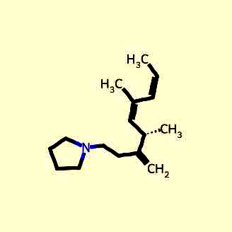 C=C(CCN1CCCC1)[C@@H](C)/C=C(C)\C=C/C